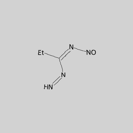 CC/C(N=N)=N/N=O